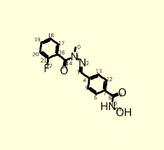 CN(N=Cc1ccc(C(=O)NO)cc1)C(=O)c1ccccc1F